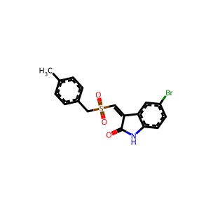 Cc1ccc(CS(=O)(=O)C=C2C(=O)Nc3ccc(Br)cc32)cc1